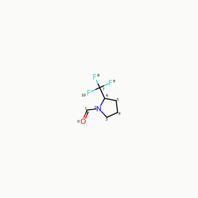 O=[C]N1CCCC1C(F)(F)F